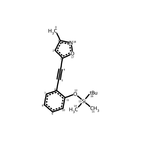 Cc1cc(C#Cc2ccccc2O[Si](C)(C)C(C)(C)C)on1